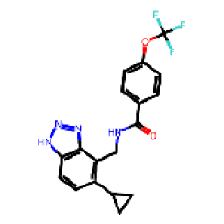 O=C(NCc1c(C2CC2)ccc2[nH]nnc12)c1ccc(OC(F)(F)F)cc1